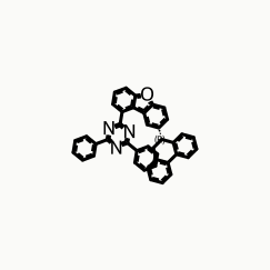 c1ccc(-c2nc(-c3ccccc3)nc(-c3cccc4oc5ccc([C@H]6Cc7ccccc7-c7ccccc76)cc5c34)n2)cc1